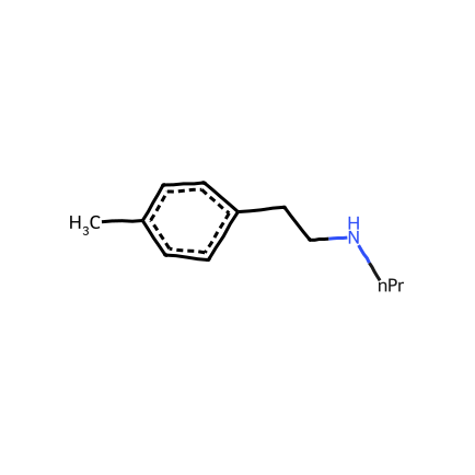 CCCNCCc1ccc(C)cc1